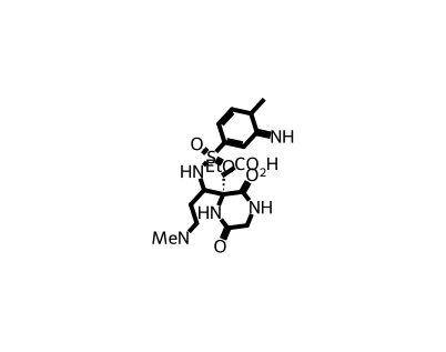 CCC(C(=O)O)[C@@]1(C(CCNC)NS(=O)(=O)C2=CC(=N)C(C)C=C2)NC(=O)CNC1=O